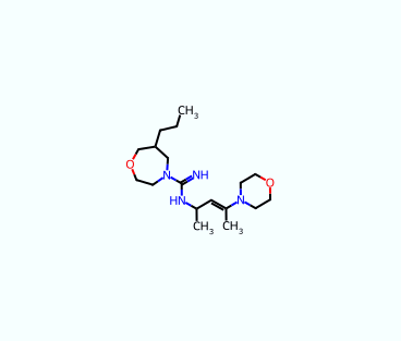 CCCC1COCCN(C(=N)NC(C)/C=C(\C)N2CCOCC2)C1